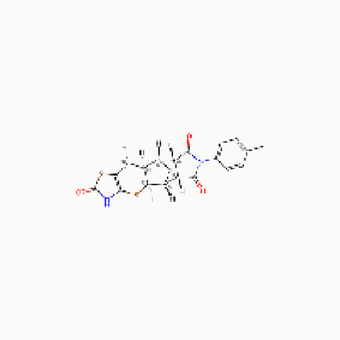 Cc1ccc(N2C(=O)[C@@H]3[C@H]4C[C@@H]([C@@H]3C2=O)[C@H]2[C@@H]4Sc3[nH]c(=O)sc3[C@@H]2C)cc1